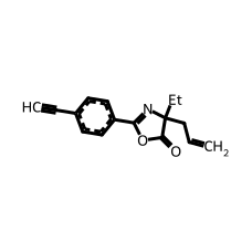 C#Cc1ccc(C2=NC(CC)(CC=C)C(=O)O2)cc1